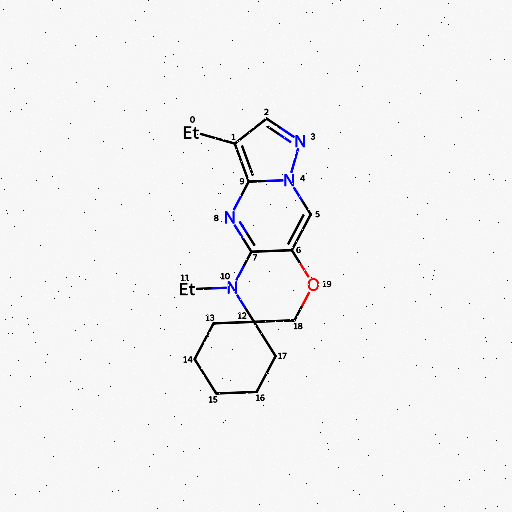 CCc1cnn2cc3c(nc12)N(CC)C1(CCCCC1)CO3